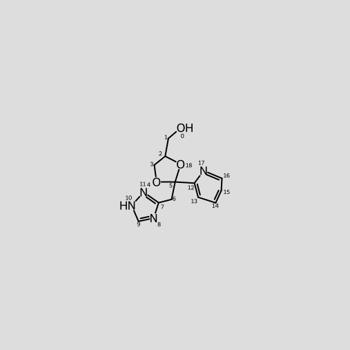 OCC1COC(Cc2nc[nH]n2)(c2ccccn2)O1